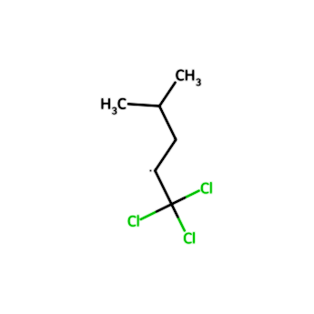 CC(C)C[CH]C(Cl)(Cl)Cl